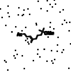 COC(C)(C)CCCC(C)=CCCC(C)=O